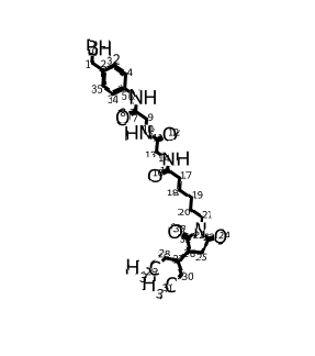 BCc1ccc(NC(=O)CNC(=O)CNC(=O)CCCCCN2C(=O)CC(C(CC)CC)C2=O)cc1